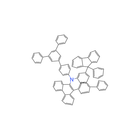 c1ccc(-c2ccc(-c3c(N(c4ccc(-c5cc(-c6ccccc6)cc(-c6ccccc6)c5)cc4)c4cccc(C5(c6ccccc6)c6ccccc6-c6ccccc65)c4)c4ccccc4c4ccccc34)cc2)cc1